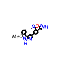 COc1ccccc1-c1n[nH]c2ncc(-c3ccc(-c4cn[nH]c4)c(C(=O)N(C)C)c3)cc12